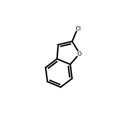 Clc1[c]c2ccccc2o1